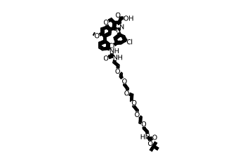 COc1cc2c(cc1-c1cccc(NC(=O)NCCOCCOCCOCCOCCOCCOCCNC(=O)OC(C)(C)C)c1)-c1c(c(C(=O)O)nn1-c1cc(Cl)cc(Cl)c1)CO2